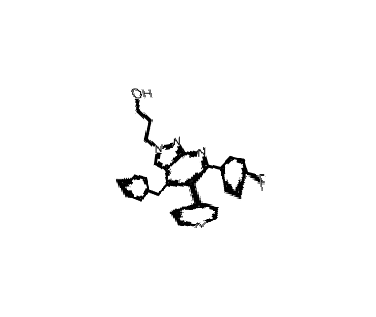 OCCCn1cc2c(Cc3ccccc3)c(-c3ccncc3)c(-c3ccc(F)cc3)nc2n1